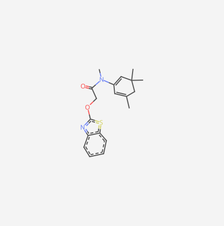 CC1=CC(N(C)C(=O)COc2nc3ccccc3s2)=CC(C)(C)C1